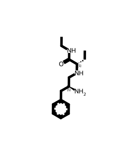 CCNC(=O)[C@H](CC)NC[C@@H](N)Cc1ccccc1